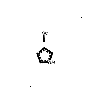 CC(C)=O.c1cc[nH]c1